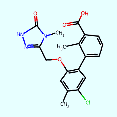 Cc1cc(OCc2n[nH]c(=O)n2C)c(-c2cccc(C(=O)O)c2C)cc1Cl